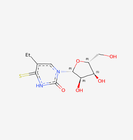 CCc1cn([C@@H]2O[C@H](CO)[C@@H](O)[C@H]2O)c(=O)[nH]c1=S